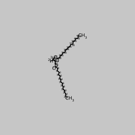 [2H]C([2H])=C(COC(=O)CCCCCCCCCCCCCCCCC)OC(=O)CCCCCCCCCCCCCCCCC